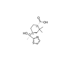 CC1(C)C[C@@H]([C@](C)(O)c2nccs2)CC[C@@H]1C(=O)O